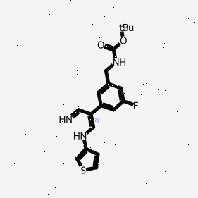 CC(C)(C)OC(=O)NCc1cc(F)cc(/C(C=N)=C/Nc2ccsc2)c1